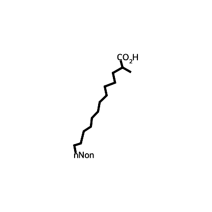 CCCCCCCCCCCCCCCCCCCCC(C)C(=O)O